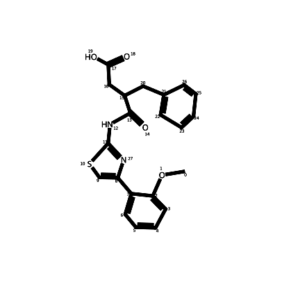 COc1ccccc1-c1csc(NC(=O)C(CC(=O)O)Cc2ccccc2)n1